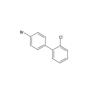 Clc1ccccc1-c1ccc(Br)cc1